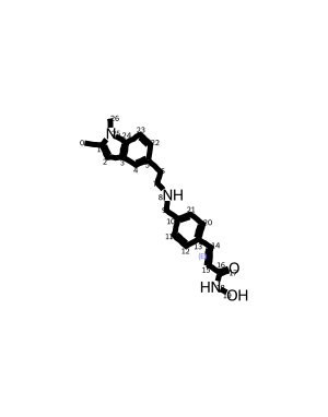 Cc1cc2cc(CCNCc3ccc(/C=C/C(=O)NO)cc3)ccc2n1C